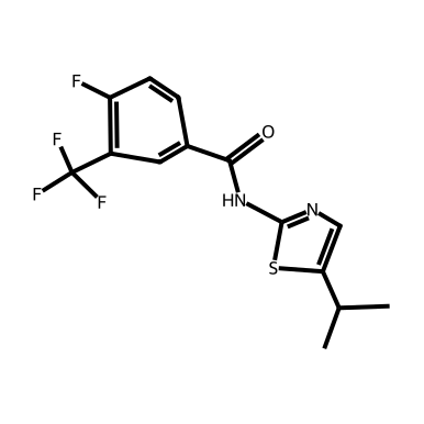 CC(C)c1cnc(NC(=O)c2ccc(F)c(C(F)(F)F)c2)s1